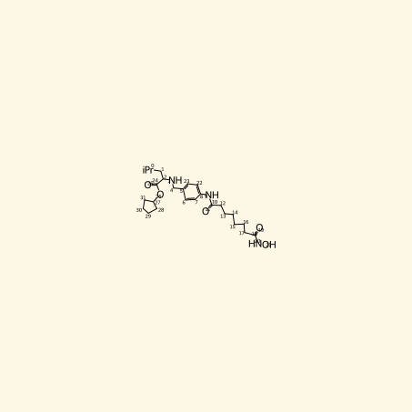 CC(C)CC(NCc1ccc(NC(=O)CCCCCCC(=O)NO)cc1)C(=O)OC1CCCC1